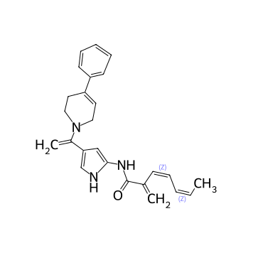 C=C(/C=C\C=C/C)C(=O)Nc1cc(C(=C)N2CC=C(c3ccccc3)CC2)c[nH]1